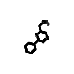 CCc1cn[c]c(-c2ccccc2)n1